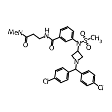 CNC(=O)CCNC(=O)c1cccc(N(C2CN(C(c3ccc(Cl)cc3)c3ccc(Cl)cc3)C2)S(C)(=O)=O)c1